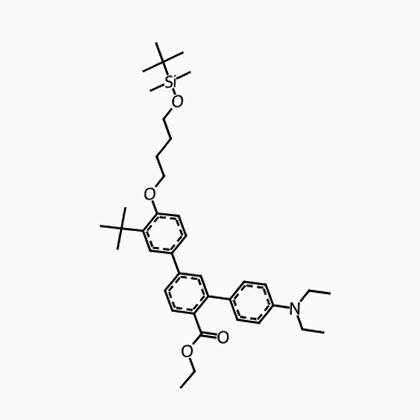 CCOC(=O)c1ccc(-c2ccc(OCCCCO[Si](C)(C)C(C)(C)C)c(C(C)(C)C)c2)cc1-c1ccc(N(CC)CC)cc1